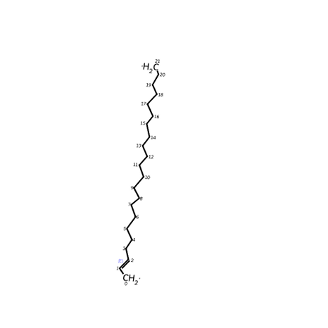 [CH2]/C=C/CCCCCCCCCCCCCCCCCC[CH2]